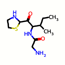 CCC(C)C(NC(=O)CN)C(=O)C1NCCS1